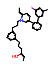 CC=C(O)CCCc1cccc(CCCN2C=C(c3ccccc3-c3cc(C)cc(I)c3)C=CC2=CC)c1